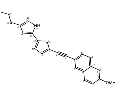 COc1ccc2cc(C#Cc3ccc(-c4cc(SCC(C)=O)n[nH]4)o3)ccc2c1